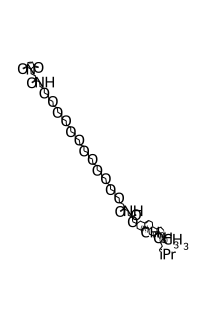 CC(C)CCC[C@@H](C)[C@H]1CCC2C3CC=C4CC(OC(=O)CNC(=O)CCOCCOCCOCCOCCOCCOCCOCCOCCOCCOCCOCCOCCNC(=O)CCN5C(=O)C=CC5=O)CC[C@]4(C)C3CC[C@@]21C